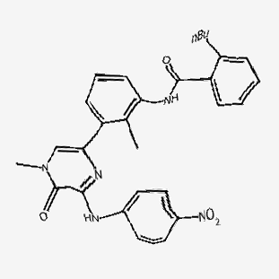 CCCCc1ccccc1C(=O)Nc1cccc(-c2cn(C)c(=O)c(Nc3ccc([N+](=O)[O-])cc3)n2)c1C